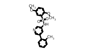 COc1ccc(OC)c(S(=O)(=O)Nc2cncc(-c3ccccc3C)c2)c1